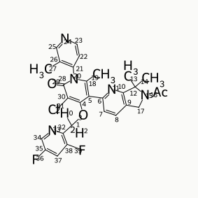 [2H]C([2H])(Oc1c(-c2ccc3c(n2)C(C)(C)N(C(C)=O)C3)c(C)n(-c2ccncc2C)c(=O)c1Cl)c1ncc(F)cc1F